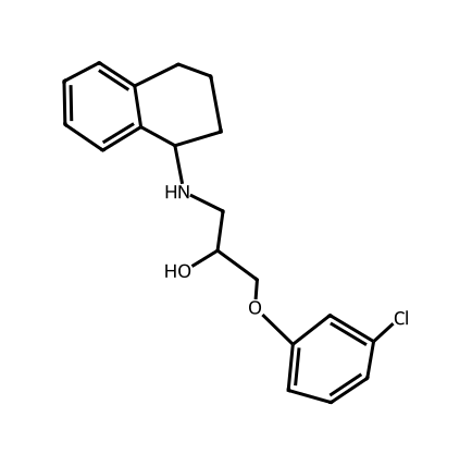 OC(CNC1CCCc2ccccc21)COc1cccc(Cl)c1